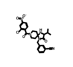 CC(C)C1NC2(CCN(C(=O)c3ccc([N+](=O)[O-])cc3Cl)CC2)N(Cc2cccc(C#N)c2)C1=O